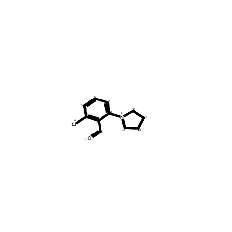 O=Cc1c(Cl)cccc1N1CCCC1